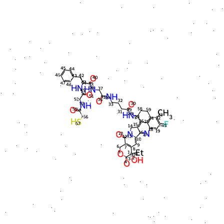 CC[C@@]1(O)C(=O)OCc2c1cc1n(c2=O)Cc2c-1nc1cc(F)c(C)c3c1c2[C@@H](NC(=O)CCCNC(=O)CNC(=O)[C@H](Cc1ccccc1)NC(=O)CNC(=O)CS)CC3